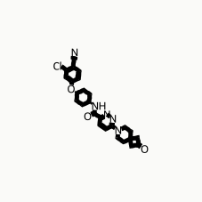 N#Cc1ccc(O[C@H]2CC[C@H](NC(=O)c3ccc(N4CCC5(CC4)CC(=O)C5)nn3)CC2)cc1Cl